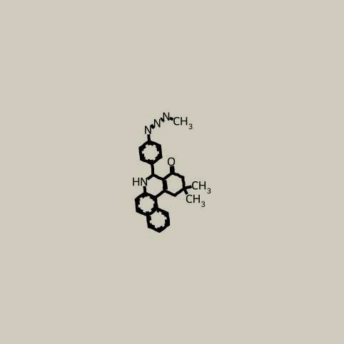 CN=[N+]=Nc1ccc(C2Nc3ccc4ccccc4c3C3=C2C(=O)CC(C)(C)C3)cc1